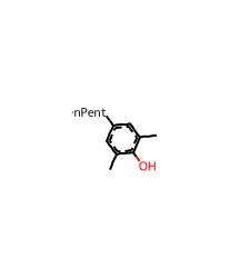 [CH2]CCC[CH]c1cc(C)c(O)c(C)c1